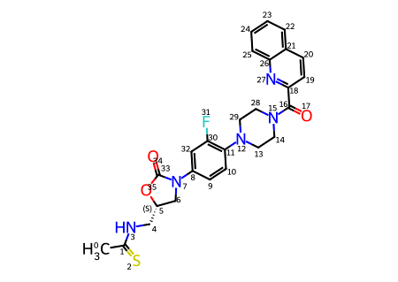 CC(=S)NC[C@H]1CN(c2ccc(N3CCN(C(=O)c4ccc5ccccc5n4)CC3)c(F)c2)C(=O)O1